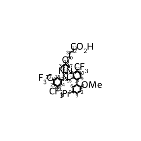 COc1ccc(C(C)C)cc1-c1ccc(C(F)(F)F)cc1CN(c1cc(C(F)(F)F)cc(C(F)(F)F)c1)c1ncc(OCCCC(=O)O)cn1